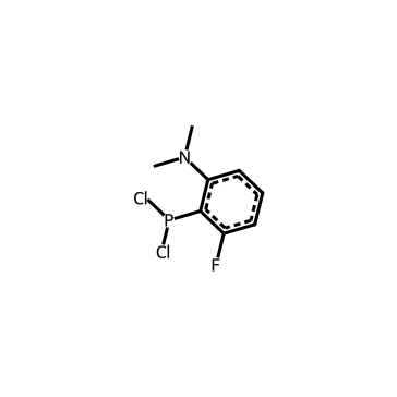 CN(C)c1cccc(F)c1P(Cl)Cl